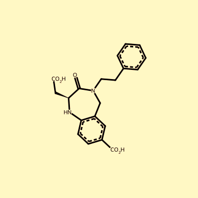 O=C(O)C[C@@H]1Nc2ccc(C(=O)O)cc2CN(CCc2ccccc2)C1=O